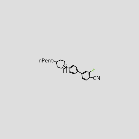 CCCCC[C@H]1CC[Si@H](c2ccc(-c3ccc(C#N)c(F)c3)cc2)CC1